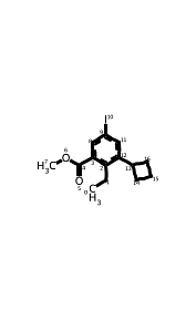 CCc1c(C(=O)OC)cc(I)cc1C1CCC1